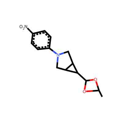 CC1OC(C2C3CN(c4ccc([N+](=O)[O-])cc4)CC32)O1